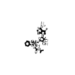 CC(C)OC(=O)[C@H](C)N[P@@](=O)(OC[C@H]1O[C@@H](n2cc(F)c3c(N)ncnc32)[C@](C)(Cl)[C@@H]1O)Oc1ccccc1